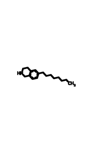 CCCCCCCCc1ccc2c(c1)CCNC2